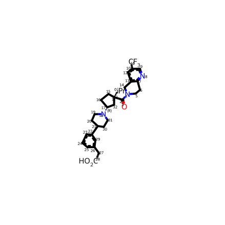 CC(C)[C@]1(C(=O)N2CCc3ncc(C(F)(F)F)cc3C2)CC[C@@H](N2CCC(c3cccc(CC(=O)O)c3)CC2)C1